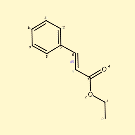 CCOC(=O)/C=C/c1[c]cccc1